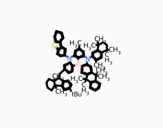 Cc1cc2c3c(c1)N(c1cc4c(cc1C)C(C)(C)CCC4(C)C)c1cc4c(cc1B3c1ccc(CC3c5ccc(C(C)(C)C)cc5C5(C)CCCCC35C)cc1N2c1ccc2sc3ccccc3c2c1)C(C)(C)c1ccccc1C4(C)C